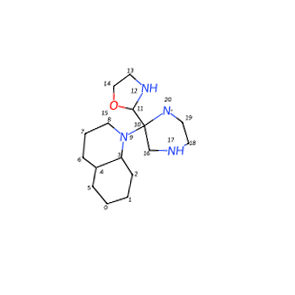 C1CCC2C(C1)CCCN2C1(C2NCCO2)CNCC[N]1